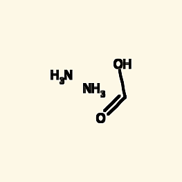 N.N.O=CO